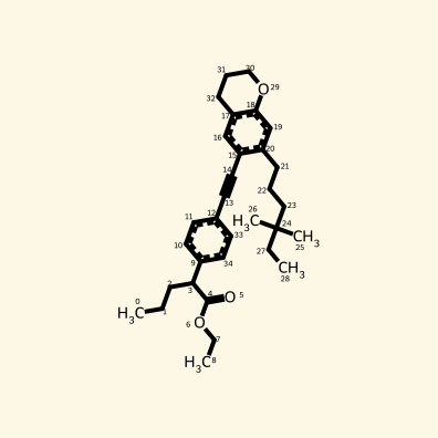 CCCC(C(=O)OCC)c1ccc(C#Cc2cc3c(cc2CCCC(C)(C)CC)OCCC3)cc1